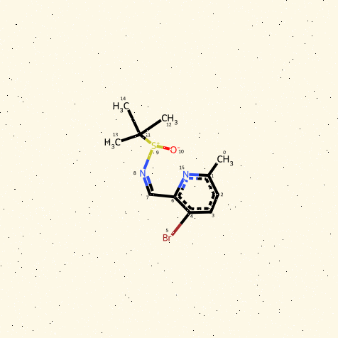 Cc1ccc(Br)c(/C=N\[S+]([O-])C(C)(C)C)n1